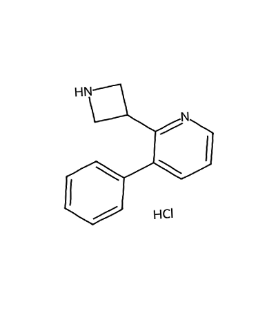 Cl.c1ccc(-c2cccnc2C2CNC2)cc1